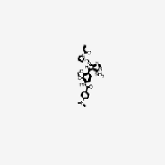 C=CC(=O)N1CCC[C@H]1Cn1nc(-c2ccc(NC(=O)c3ccc(N(C)C)cc3)c3c2OCO3)c2c(N)ncnc21